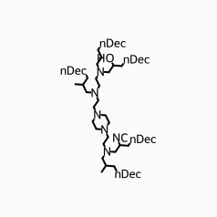 CCCCCCCCCCCCCN(CCN(CCN1CCN(CCN(CC(C)CCCCCCCCCCC)CC(C#N)CCCCCCCCCCC)CC1)CC(C)CCCCCCCCCCC)CC(O)CCCCCCCCCCC